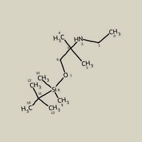 CCNC(C)(C)CO[Si](C)(C)C(C)(C)C